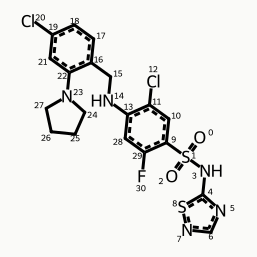 O=S(=O)(Nc1ncns1)c1cc(Cl)c(NCc2ccc(Cl)cc2N2CCCC2)cc1F